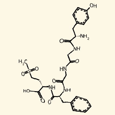 CS(=O)(=O)CC[C@H](NC(=O)[C@H](Cc1ccccc1)NC(=O)CNC(=O)CNC(=O)[C@@H](N)Cc1ccc(O)cc1)C(=O)O